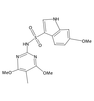 COc1ccc2c(S(=O)(=O)Nc3nc(OC)c(C)c(OC)n3)c[nH]c2c1